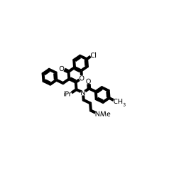 CNCCCN(C(=O)c1ccc(C)cc1)C(c1oc2cc(Cl)ccc2c(=O)c1Cc1ccccc1)C(C)C